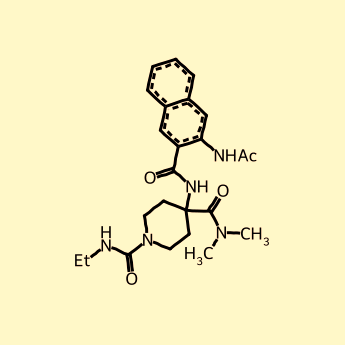 CCNC(=O)N1CCC(NC(=O)c2cc3ccccc3cc2NC(C)=O)(C(=O)N(C)C)CC1